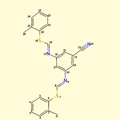 Cc1ccccc1S/C=N/c1cc(C#N)cc(/N=C/Sc2ccccc2C)c1